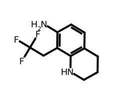 Nc1ccc2c(c1CC(F)(F)F)NCCC2